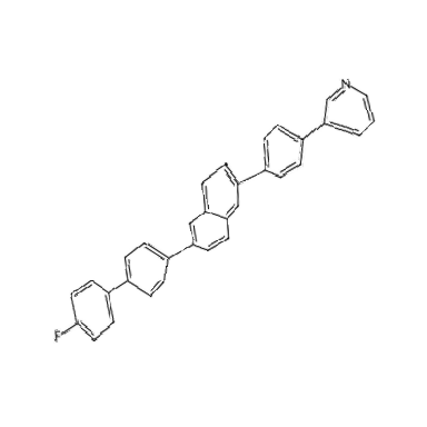 Fc1ccc(-c2ccc(-c3ccc4cc(-c5ccc(-c6cccnc6)cc5)ccc4c3)cc2)cc1